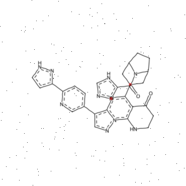 O=C1CCNc2c1c(C1CC3CCC(C1)N3C(=O)c1nnc[nH]1)nc1c(-c3ccc(-c4cc[nH]n4)nc3)cnn21